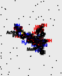 CCC(C)[C@H](NC(=O)[C@H](CN1Cc2ccc(cc2)B2O[C@@H]([C@H](O)[C@@H](C(O)CO)O2)[C@H](O)C1)NC(=O)[C@@H]1CCCN1C(=O)[C@H](CC(N)=O)NC(=O)[C@H](C)N(C)C(=O)[C@H](Cc1ccc(O)cc1)NC(=O)CSC[C@H](NC(=O)[C@H](CC(C)C)NC(C)=O)C(=O)NCC(N)=O)C(=O)N1C[C@H](O)C[C@H]1C(=O)N[C@@H](Cc1c[nH]c2ccccc12)C(=O)N[C@@H](CCNC)C(=O)N[C@@H](Cc1cn(CC(=O)O)c2ccccc12)C(=O)N(C)C